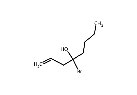 C=CCC(O)(Br)CCCC